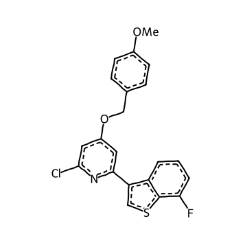 COc1ccc(COc2cc(Cl)nc(-c3csc4c(F)cccc34)c2)cc1